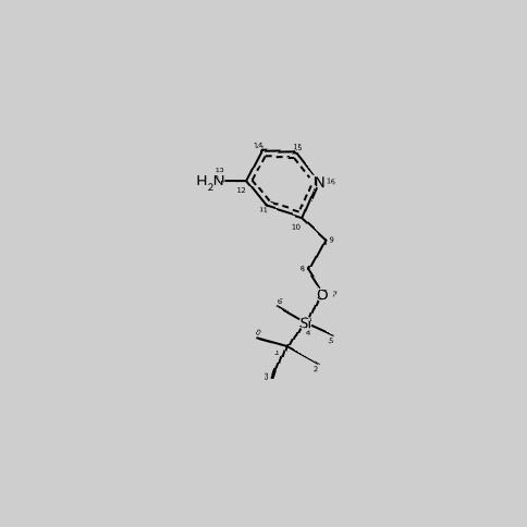 CC(C)(C)[Si](C)(C)OC[CH]c1cc(N)ccn1